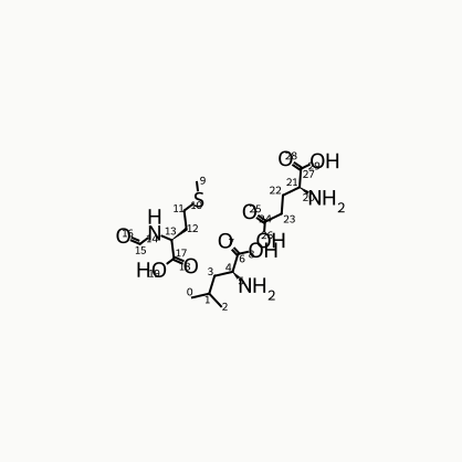 CC(C)C[C@H](N)C(=O)O.CSCC[C@H](NC=O)C(=O)O.N[C@@H](CCC(=O)O)C(=O)O